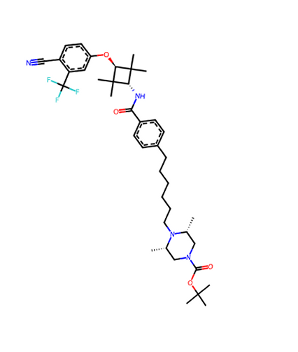 C[C@@H]1CN(C(=O)OC(C)(C)C)C[C@H](C)N1CCCCCCc1ccc(C(=O)N[C@H]2C(C)(C)[C@H](Oc3ccc(C#N)c(C(F)(F)F)c3)C2(C)C)cc1